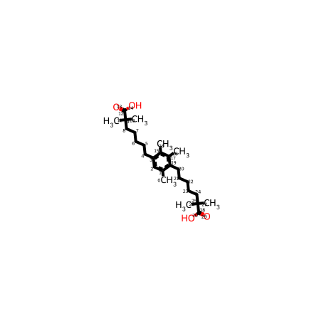 Cc1cc(CCCCCC(C)(C)C(=O)O)c(C)c(C)c1CCCCCC(C)(C)C(=O)O